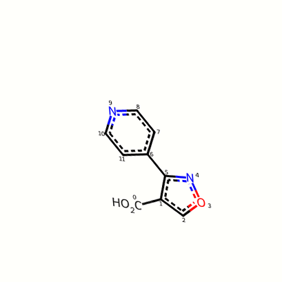 O=C(O)c1conc1-c1ccncc1